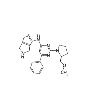 COC[C@@H]1CCCN1c1nc(NC2=NCC3=C2CNC3)cc(-c2ccccc2)n1